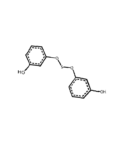 Oc1cccc(OSOc2cccc(O)c2)c1